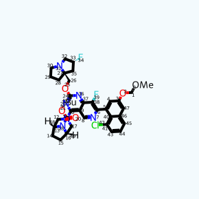 COCOc1cc(-c2ncc3c(N4C[C@H]5CC[C@@H](C4)N5C(=O)OC(C)(C)C)nc(OC[C@@]45CCCN4C[C@H](F)C5)nc3c2F)c2c(Cl)cccc2c1